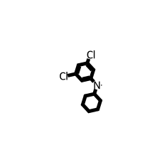 Clc1cc(Cl)cc([N]C2CCCCC2)c1